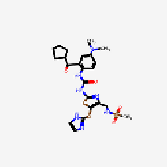 CN(C)c1ccc(NC(=O)Nc2nc(CNS(C)(=O)=O)c(Sc3ncc[nH]3)s2)c(C(=O)C2CCCC2)c1